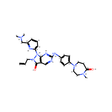 C=CCn1c(=O)c2cnc(Nc3ccc(N4CCC(=O)N(C)CC4)cc3)nc2n1-c1cccc(CN(C)C)n1